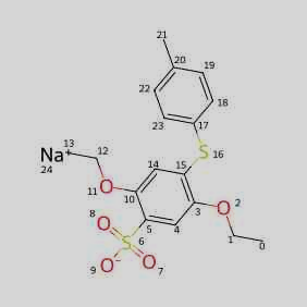 CCOc1cc(S(=O)(=O)[O-])c(OCC)cc1Sc1ccc(C)cc1.[Na+]